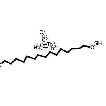 CCCCCCCCCCCCCCCCO[SiH3].[CH3][Th+3].[CH3][Th+3].[O-2].[O-2].[O-2]